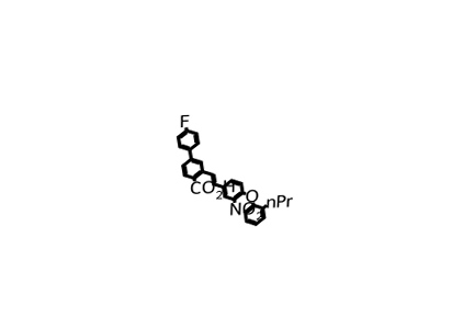 CCCc1ccccc1Oc1ccc(/C=C/c2cc(-c3ccc(F)cc3)ccc2C(=O)O)cc1[N+](=O)[O-]